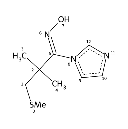 CSCC(C)(C)/C(=N/O)n1ccnc1